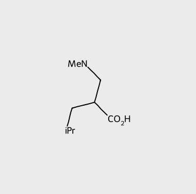 CNCC(CC(C)C)C(=O)O